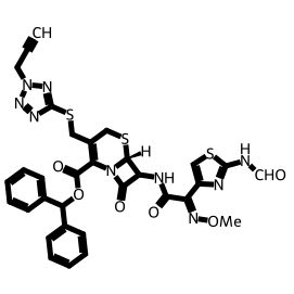 C#CCn1nnc(SCC2=C(C(=O)OC(c3ccccc3)c3ccccc3)N3C(=O)C(NC(=O)/C(=N/OC)c4csc(NC=O)n4)[C@H]3SC2)n1